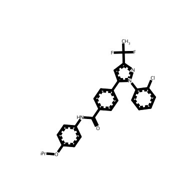 CC(C)Oc1ccc(NC(=O)c2ccc(-c3cc(C(C)(F)F)nn3-c3ccccc3Cl)cc2)cc1